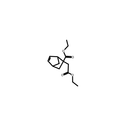 CCOC(=O)CC1(C(=O)OCC)CC2C=CC1C2